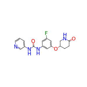 O=C1CCC(Oc2cc(F)cc(NC(=O)Nc3cccnc3)c2)CN1